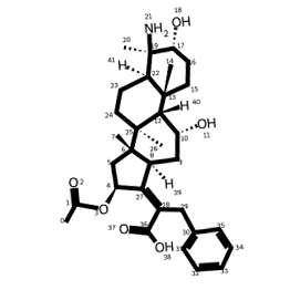 CC(=O)O[C@H]1C[C@@]2(C)[C@@H](C[C@@H](O)[C@H]3[C@@]4(C)CC[C@@H](O)[C@](C)(N)[C@@H]4CC[C@@]32C)/C1=C(\Cc1ccccc1)C(=O)O